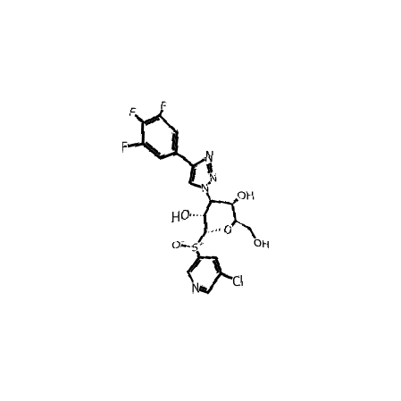 [O-][S@+](c1cncc(Cl)c1)[C@H]1O[C@H](CO)[C@H](O)[C@H](n2cc(-c3cc(F)c(F)c(F)c3)nn2)[C@H]1O